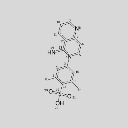 Cc1cc(-n2ccc3ncccc3c2=N)cc(C)c1S(=O)(=O)O